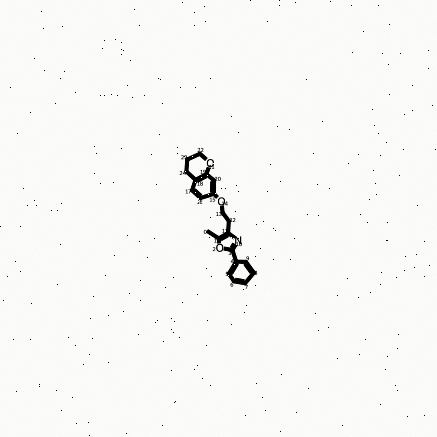 Cc1oc(-c2ccccc2)nc1CCOc1ccc2c(c1)OC[CH]C2